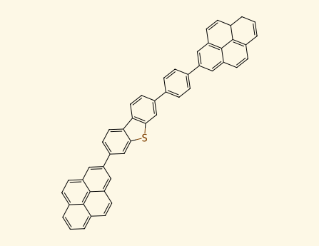 C1=Cc2ccc3cc(-c4ccc(-c5ccc6c(c5)sc5cc(-c7cc8ccc9cccc%10ccc(c7)c8c9%10)ccc56)cc4)cc4c3c2C(C=C4)C1